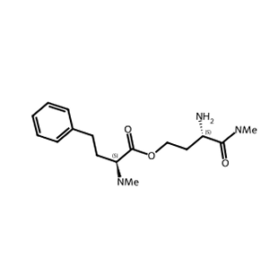 CNC(=O)[C@@H](N)CCOC(=O)[C@H](CCc1ccccc1)NC